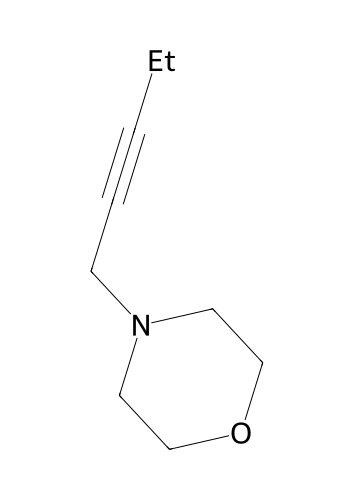 [CH2]CC#CCN1CCOCC1